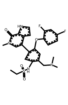 CCS(=O)(=O)Nc1cc(-c2cn(C)c(=O)c3[nH]ccc23)c(Oc2ccc(F)cc2F)cc1CN(C)C